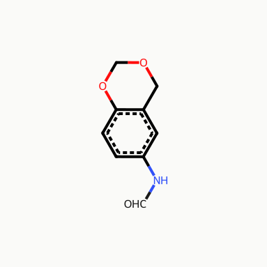 O=CNc1ccc2c(c1)COCO2